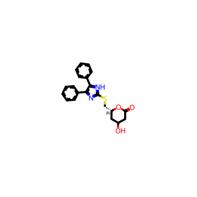 O=C1CC(O)C[C@H](CSc2nc(-c3ccccc3)c(-c3ccccc3)[nH]2)O1